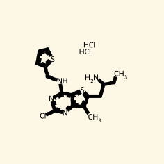 CCC(N)Cc1sc2c(NCc3cccs3)nc(Cl)nc2c1C.Cl.Cl